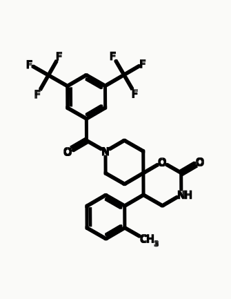 Cc1ccccc1C1CNC(=O)OC12CCN(C(=O)c1cc(C(F)(F)F)cc(C(F)(F)F)c1)CC2